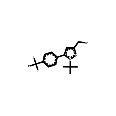 CC(C)(C)n1nc(CBr)cc1-c1ccc(C(F)(F)F)cc1